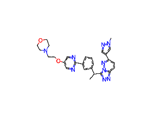 CC(c1cccc(-c2ncc(OCCN3CCOCC3)cn2)c1)c1nnc2ccc(-c3cnn(C)c3)nn12